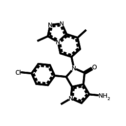 Cc1cc(N2C(=O)c3c(N)cn(C)c3C2c2ccc(Cl)cc2)cn2c(C)nnc12